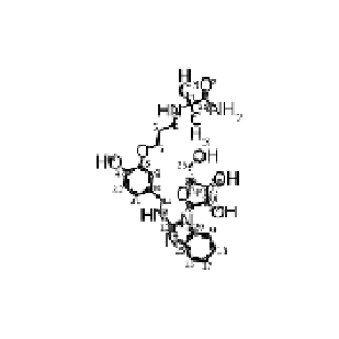 CC(C)(NCCCOc1cc(CNc2nc3ccccc3n2[C@@H]2O[C@H](CO)[C@@H](O)[C@H]2O)ccc1O)C(N)=O